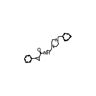 O=C(NCCN1CCN(Cc2ccccc2)CC1)C1CC1c1ccccc1